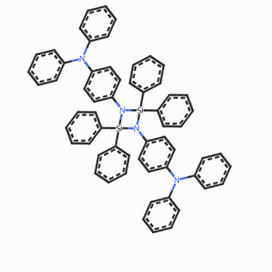 c1ccc(N(c2ccccc2)c2ccc(N3[Si](c4ccccc4)(c4ccccc4)N(c4ccc(N(c5ccccc5)c5ccccc5)cc4)[Si]3(c3ccccc3)c3ccccc3)cc2)cc1